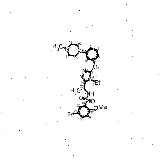 CCn1c(Oc2cccc(N3CCN(C)CC3)c2)nnc1[C@@H](C)NS(=O)(=O)c1cc(Br)ccc1OC